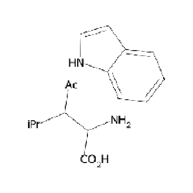 CC(=O)C(C(C)C)C(N)C(=O)O.c1ccc2[nH]ccc2c1